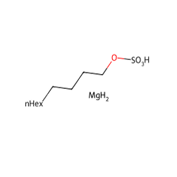 CCCCCCCCCCOS(=O)(=O)O.[MgH2]